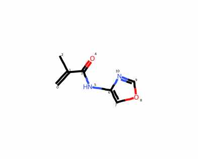 C=C(C)C(=O)Nc1cocn1